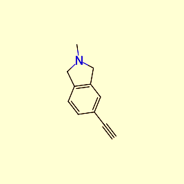 C#Cc1ccc2c(c1)CN(C)C2